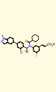 [2H]C(c1ccc(-c2ccc3c(cnn3C)c2)cc1Cl)N(C(=O)C1CCCCC1)c1cc(F)cc(/C=C/C(=O)O)c1